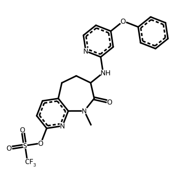 CN1C(=O)C(Nc2cc(Oc3ccccc3)ccn2)CCc2ccc(OS(=O)(=O)C(F)(F)F)nc21